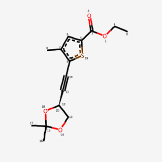 CCOC(=O)c1cc(C)c(C#C[C@H]2COC(C)(C)O2)s1